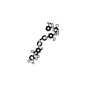 COc1cc(N2CCC(CN3CCN(c4cc5c(cc4F)C(=O)N(C4CCC(=O)NC4=O)C5=O)CC3)CC2)ccc1Nc1ncc(Cl)c(Nc2ccccc2P(C)C)n1